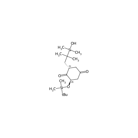 CC(C)(C[C@@H]1CC(=O)C[C@@H](O[Si](C)(C)C(C)(C)C)C1=O)[Si](C)(C)O